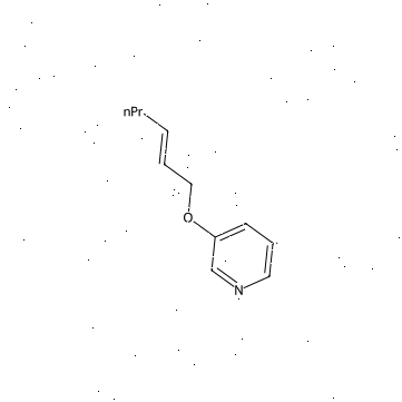 CCCC=CCOc1c[c]cnc1